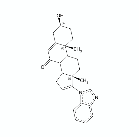 C[C@]12CC[C@H](O)CC1=CC(=O)C1C2CC[C@]2(C)C(n3cnc4ccccc43)=CCC12